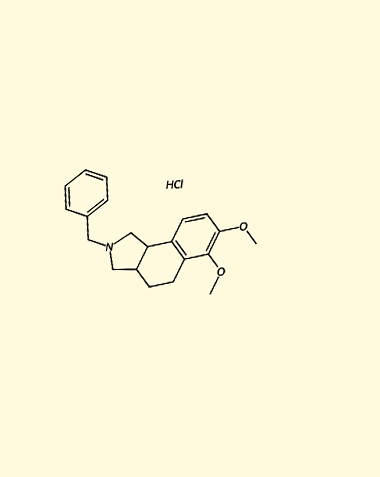 COc1ccc2c(c1OC)CCC1CN(Cc3ccccc3)CC21.Cl